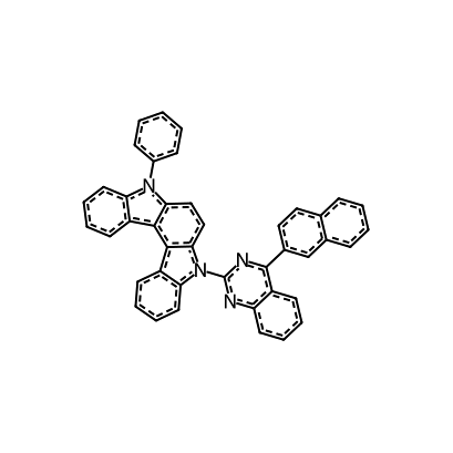 c1ccc(-n2c3ccccc3c3c4c5ccccc5n(-c5nc(-c6ccc7ccccc7c6)c6ccccc6n5)c4ccc32)cc1